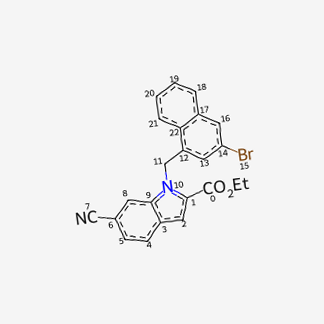 CCOC(=O)c1cc2ccc(C#N)cc2n1Cc1cc(Br)cc2ccccc12